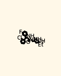 CCC(O)C[C@H](N)CNC(=O)c1[nH]c2ccc(F)cc2c1-c1ccccc1Cl